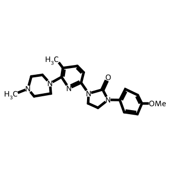 COc1ccc(N2CCN(c3ccc(C)c(N4CCN(C)CC4)n3)C2=O)cc1